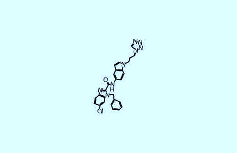 O=C(Nc1ccc2c(ccn2CCCn2cnnn2)c1)c1nc2ccc(Cl)cc2n1Cc1ccccc1